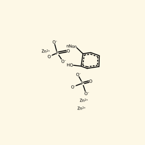 CCCCCCCCCc1ccccc1O.O=P([O-])([O-])[O-].O=P([O-])([O-])[O-].[Zn+2].[Zn+2].[Zn+2]